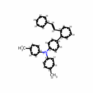 Cc1ccc(N(c2ccc(C)cc2)c2ccc(-c3ccccc3/C=C/c3ccccc3)cc2)cc1